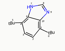 CC(C)(C)c1ccc(C(C)(C)C)c2[nH]cnc12